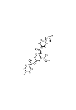 COC(=O)c1cc(OC(=O)c2ccc(C)cc2)ccc1OC(=O)c1ccc(OC(C)=O)cc1